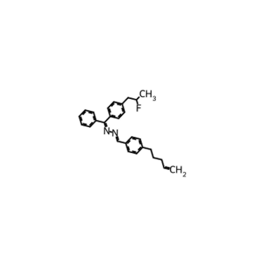 C=CCCCc1ccc(C=NN=C(c2ccccc2)c2ccc(CC(C)F)cc2)cc1